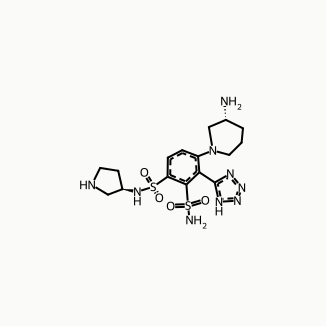 N[C@@H]1CCCN(c2ccc(S(=O)(=O)N[C@@H]3CCNC3)c(S(N)(=O)=O)c2-c2nnn[nH]2)C1